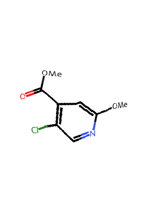 COC(=O)c1cc(OC)ncc1Cl